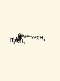 CCCCCCCCCCCCCCOC(=O)OOOC(C)(C)C